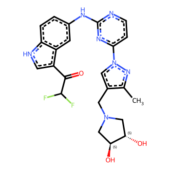 Cc1nn(-c2ccnc(Nc3ccc4[nH]cc(C(=O)C(F)F)c4c3)n2)cc1CN1C[C@H](O)[C@@H](O)C1